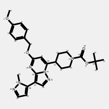 COc1ccc(COc2cc(C3CCN(C(=O)OC(C)(C)C)CC3)n3ncc(-c4ccnn4C)c3n2)cc1